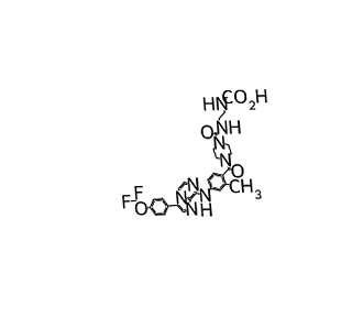 Cc1cc(Nc2nccn3c(-c4ccc(OC(F)F)cc4)cnc23)ccc1C(=O)N1CCN(C(=O)NCCNC(=O)O)CC1